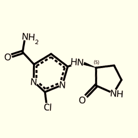 NC(=O)c1cc(N[C@H]2CCNC2=O)nc(Cl)n1